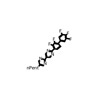 CCCCCc1cnc(-c2cnc(-c3ccc(-c4cc(F)c(F)c(F)c4)c(F)c3F)nc2)nc1